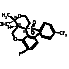 C[C@@]1(C=O)OCC[C@@]2(S(=O)(=O)c3ccc(C(F)(F)F)cc3)c3c(F)ccc(F)c3OC[C@@H]12